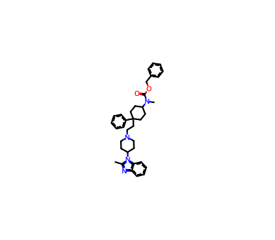 Cc1nc2ccccc2n1C1CCN(CCC2(c3ccccc3)CCC(N(C)C(=O)OCc3ccccc3)CC2)CC1